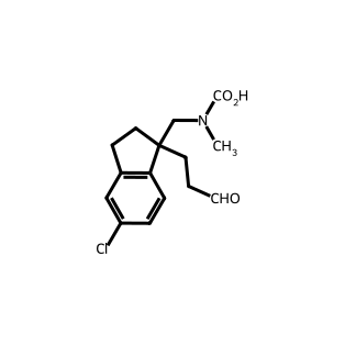 CN(CC1(CCC=O)CCc2cc(Cl)ccc21)C(=O)O